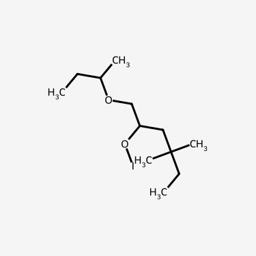 CCC(C)OCC(CC(C)(C)CC)OI